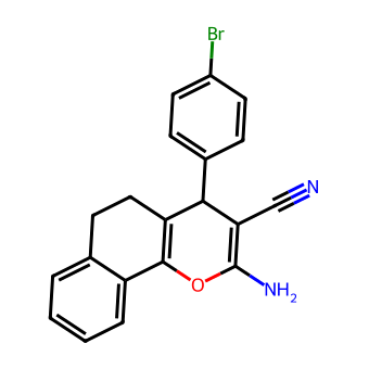 N#CC1=C(N)OC2=C(CCc3ccccc32)C1c1ccc(Br)cc1